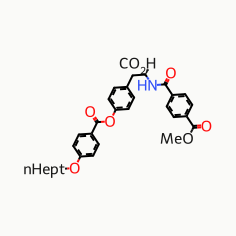 CCCCCCCOc1ccc(C(=O)Oc2ccc(C[C@H](NC(=O)c3ccc(C(=O)OC)cc3)C(=O)O)cc2)cc1